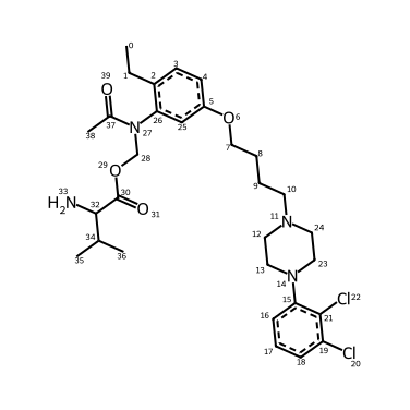 CCc1ccc(OCCCCN2CCN(c3cccc(Cl)c3Cl)CC2)cc1N(COC(=O)C(N)C(C)C)C(C)=O